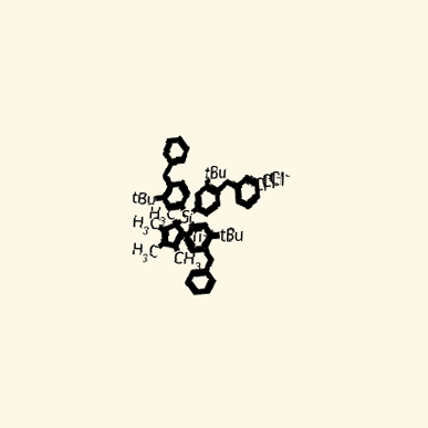 CC1=C(C)C(C)([Si](c2ccc(Cc3ccccc3)c(C(C)(C)C)c2)(c2ccc(Cc3ccccc3)c(C(C)(C)C)c2)c2ccc(Cc3ccccc3)c(C(C)(C)C)c2)[C]([Ti+3])=C1C.[Cl-].[Cl-].[Cl-]